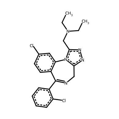 CCN(CC)Cc1nnc2n1-c1cc(Cl)ccc1C(c1ccccc1Cl)=NC2